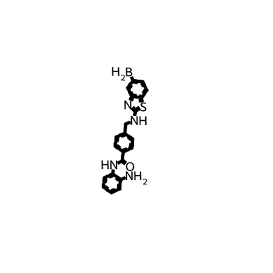 Bc1ccc2sc(NCc3ccc(C(=O)Nc4ccccc4N)cc3)nc2c1